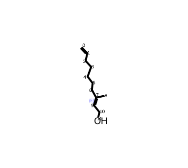 C=CCCCCC/C(C)=C/CO